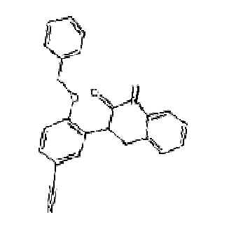 N#Cc1ccc(OCc2ccccc2)c(C2Cc3ccccc3NC2=O)c1